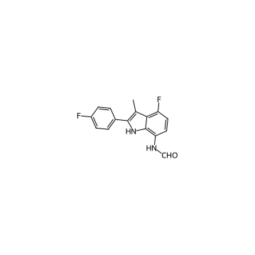 Cc1c(-c2ccc(F)cc2)[nH]c2c(NC=O)ccc(F)c12